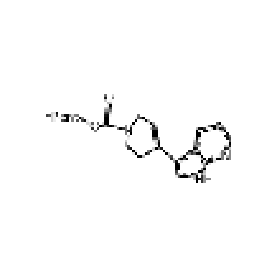 CCCCCOC(=O)N1CC=C(c2c[nH]c3ncccc23)CC1